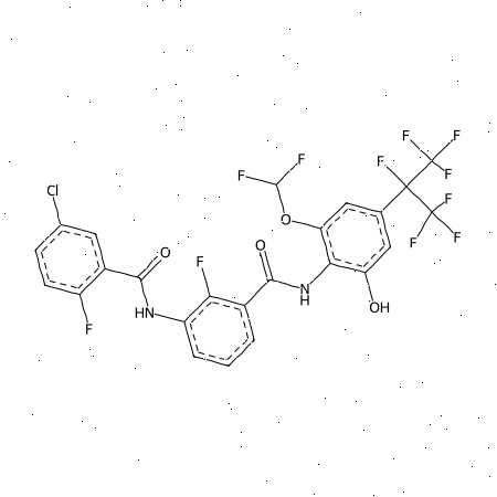 O=C(Nc1cccc(C(=O)Nc2c(O)cc(C(F)(C(F)(F)F)C(F)(F)F)cc2OC(F)F)c1F)c1cc(Cl)ccc1F